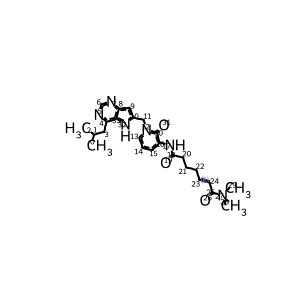 CC(C)Cc1ncnc2cc(Cn3cccc(NC(=O)CCC/C=C/C(=O)N(C)C)c3=O)[nH]c12